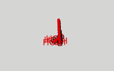 CCCCCCCCCCCCCCCC(=O)N(CCCOC)C[C@H](O)[C@@H](O)[C@H](O)[C@H](O)CO